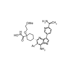 C=C(N)c1ccc(-c2cnn3c(N)c(C(C)=O)c([C@H]4CC[C@@](OCCOC)(C(=O)NO)CC4)nc23)cn1